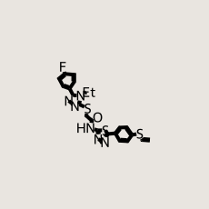 C=CSc1ccc(-c2nnc(NC(=O)CSc3nnc(-c4ccc(F)cc4)n3CC)s2)cc1